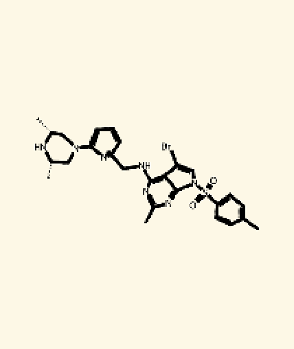 Cc1ccc(S(=O)(=O)n2cc(Br)c3c(NCc4cccc(N5C[C@@H](C)N[C@@H](C)C5)n4)nc(C)nc32)cc1